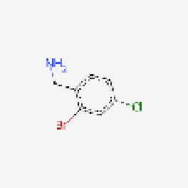 NCc1ccc(Cl)cc1Br